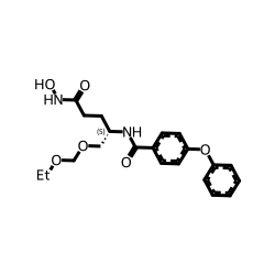 CCOCOC[C@H](CCC(=O)NO)NC(=O)c1ccc(Oc2ccccc2)cc1